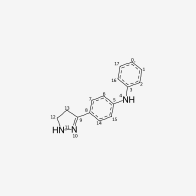 [c]1ccc(Nc2ccc(C3=NNCC3)cc2)cc1